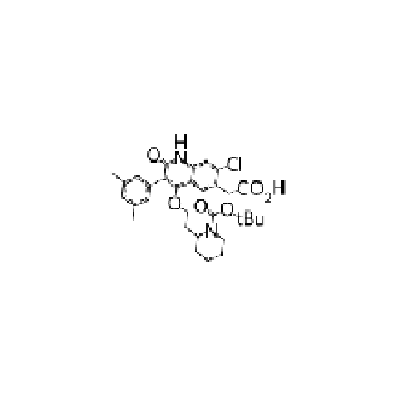 Cc1cc(C)cc(-c2c(OCCC3CCCCN3C(=O)OC(C)(C)C)c3cc(CC(=O)O)c(Cl)cc3[nH]c2=O)c1